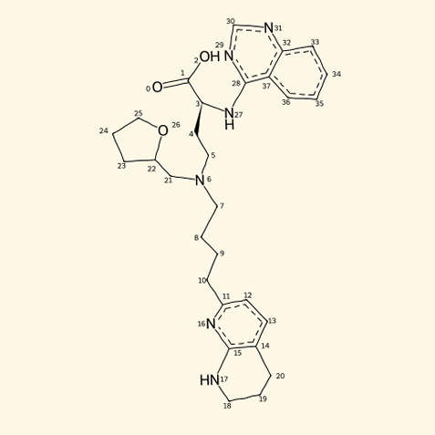 O=C(O)[C@H](CCN(CCCCc1ccc2c(n1)NCCC2)CC1CCCO1)Nc1ncnc2ccccc12